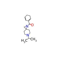 CC(C)N1CCC2(CC1)CN2C(=O)C1=CCCC=C1